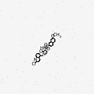 COc1ccc2ccc(S(=O)(=O)N[C@H]3CCN(Cc4cccc5nc(Cl)ccc45)C3=O)cc2c1